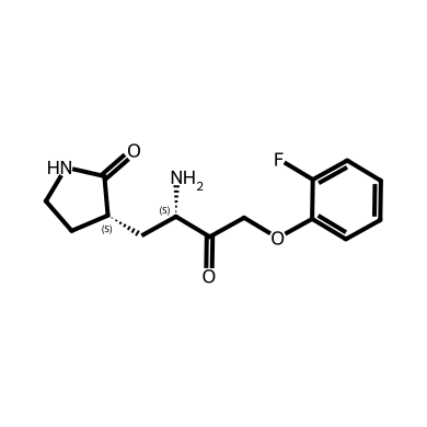 N[C@@H](C[C@@H]1CCNC1=O)C(=O)COc1ccccc1F